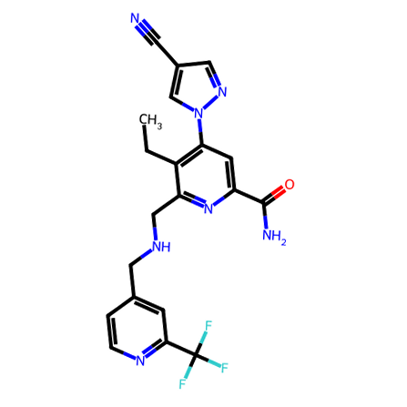 CCc1c(-n2cc(C#N)cn2)cc(C(N)=O)nc1CNCc1ccnc(C(F)(F)F)c1